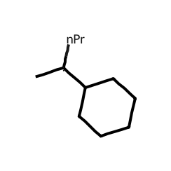 CCC[C](C)C1CCCCC1